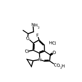 CC(CN)Oc1c(F)cc2c(=O)c(C(=O)O)cn(C3CC3)c2c1Cl.Cl